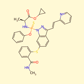 CNC(=O)c1ccccc1Sc1ccc2c(/C=C/c3ccccn3)nn(P(=S)(N[C@@H](C)C(=O)OC3CC3)Oc3ccccc3)c2c1